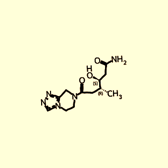 C[C@H](CC(=O)N1CCn2cnnc2C1)[C@@H](O)CC(N)=O